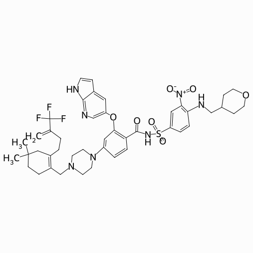 C=C(CCC1=C(CN2CCN(c3ccc(C(=O)NS(=O)(=O)c4ccc(NCC5CCOCC5)c([N+](=O)[O-])c4)c(Oc4cnc5[nH]ccc5c4)c3)CC2)CCC(C)(C)C1)C(F)(F)F